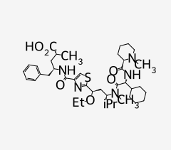 CCO[C@H](C[C@H](C(C)C)N(C)C(=O)[C@@H](NC(=O)[C@H]1CCCCN1C)C1CCCCC1)c1nc(C(=O)N[C@@H](Cc2ccccc2)C[C@H](C)C(=O)O)cs1